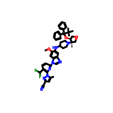 COc1cc2c(cc1NC1CCN([C@]3(C)COC[C@@H]3O[Si](c3ccccc3)(c3ccccc3)C(C)(C)C)CC1)ncn2-c1ccc(C(F)F)c(-n2nc(C#N)cc2C)n1